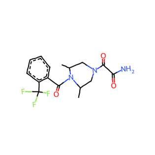 CC1CN(C(=O)C(N)=O)CC(C)N1C(=O)c1ccccc1C(F)(F)F